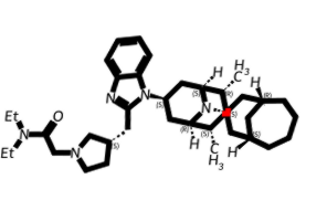 CCN(CC)C(=O)CN1CC[C@@H](Cc2nc3ccccc3n2[C@@H]2C[C@@H]3[C@@H](C)C[C@@H](C)[C@H](C2)N3[C@@H]2C[C@@H]3CCCC[C@@H](C3)C2)C1